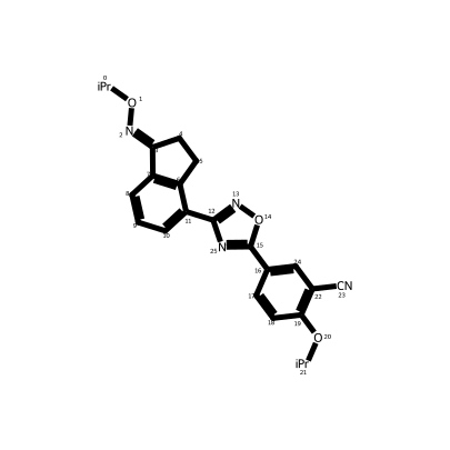 CC(C)ON=C1CCc2c1cccc2-c1noc(-c2ccc(OC(C)C)c(C#N)c2)n1